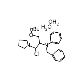 CCCCOCC(C(Cl)N1CCCC1)N(Cc1ccccc1)c1ccccc1.O.O